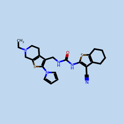 CCN1CCc2c(sc(-n3cccc3)c2CNC(=O)Nc2sc3c(c2C#N)CCCC3)C1